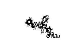 CCCCOC(=O)N1CCC(c2nc3c(N4CCOCC4)nc(-n4ccc(-c5ccccc5)n4)nc3n2C)C1